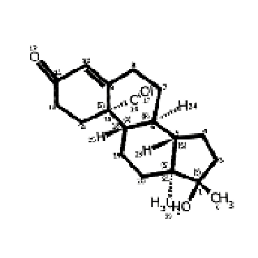 C[C@]1(O)CC[C@H]2[C@@H]3CCC4=CC(=O)CC[C@]4(CO)[C@H]3CC[C@@]21C